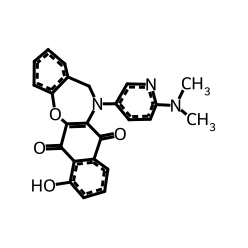 CN(C)c1ccc(N2Cc3ccccc3OC3=C2C(=O)c2cccc(O)c2C3=O)cn1